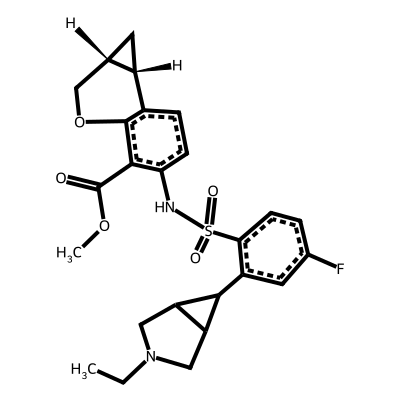 CCN1CC2C(C1)C2c1cc(F)ccc1S(=O)(=O)Nc1ccc2c(c1C(=O)OC)OC[C@@H]1C[C@H]21